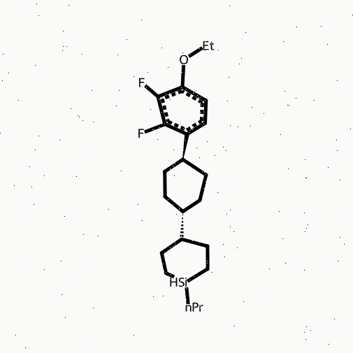 CCC[SiH]1CCC([C@H]2CC[C@H](c3ccc(OCC)c(F)c3F)CC2)CC1